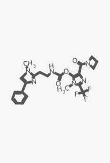 Cn1cc(-c2ccccc2)nc1CCNC(=O)Oc1c(C(=O)N2CCC2)nc(C(F)(F)F)n1C